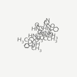 CCCC(NC(=O)[C@@H]1CC2(CN1C(=O)[C@@H](NC(=O)[C@@H](NC(=O)c1cnccn1)C1CCCCC1)C(C)(C)C)NC(=O)CS2)C(=O)C(=O)N[C@@H](C)c1ccccc1